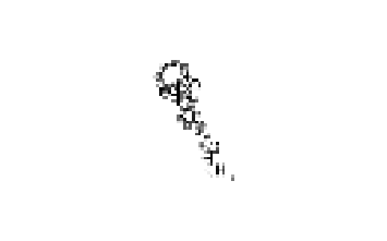 CCOC(=O)CCCOc1cccc(CNC(=O)/C2=N/C/C=C\C=C/CC(=O)N2)c1